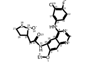 CCOc1cc2ncnc(Nc3ccc(F)c(Cl)c3)c2cc1NC(=O)CC1CCS[S+]1[O-]